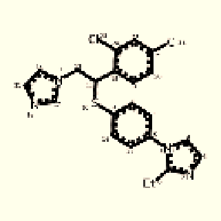 CCc1nccn1-c1ccc(SC(Cn2ccnc2)c2ccc(Cl)cc2Cl)cc1